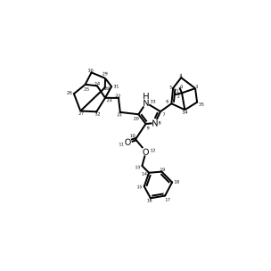 CC1(C)C2CC=C(c3nc(C(=O)OCc4ccccc4)c(CCC45CC6CC(CC(C6)C4)C5)[nH]3)C1C2